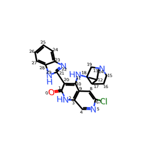 O=c1[nH]c2cnc(Cl)cc2c(NC2CN3CCC2CC3)c1-c1nc2ccccc2[nH]1